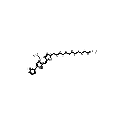 CCCOc1cc(-c2ccc[nH]2)[nH]c1/C=C1\C=CC(CCCCCCCCCCCCC(=O)O)=N1